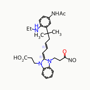 CCNc1ccc(NC(C)=O)cc1C(C)(C)C/C=C/C=C1/N(CCC(=O)O)c2ccccc2N1CCC(=O)N=O